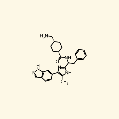 Cc1[nH]c(C(Cc2ccccc2)NC(=O)[C@H]2CC[C@H](CN)CC2)nc1-c1ccc2cn[nH]c2c1